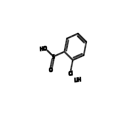 O=S(O)c1ccccc1Cl.[LiH]